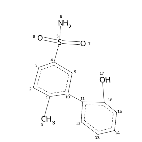 Cc1ccc(S(N)(=O)=O)cc1-c1ccccc1O